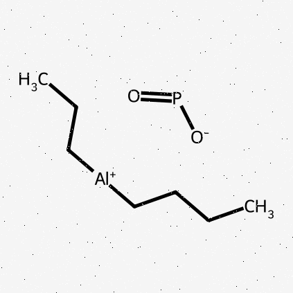 CCC[CH2][Al+][CH2]CC.O=P[O-]